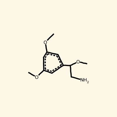 COc1cc(OC)cc(C(CN)OC)c1